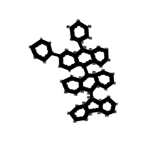 c1ccc(-c2ccc3c(-c4c5ccccc5c(-n5c6ccccc6c6ccccc65)c5ccccc45)c4ccccc4c(-c4ccccc4)c3c2)cc1